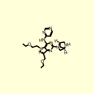 CCOCCn1nc(COCC)c2nc(N3C[C@@H]4C[C@H]3CN4)nc(Nc3ccncn3)c21